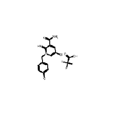 N=c1c(C(N)=O)cc(Cl)cn1Cc1ccc(Cl)cc1.O=C(O)C(F)(F)F